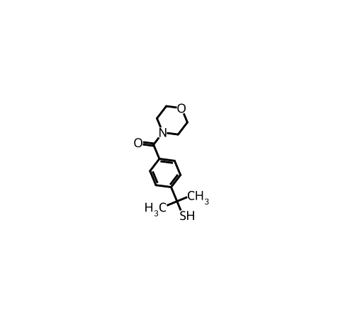 CC(C)(S)c1ccc(C(=O)N2CCOCC2)cc1